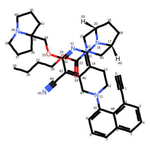 C#Cc1cccc2cccc(N3CCc4c(N5[C@@H]6CC[C@H]5CN(C(=O)OCCCC)C6)nc(OCC56CCCN5CCC6)c(C#N)c4C3)c12